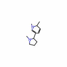 CC1C=CC(C2CCCN2C)=CN1C